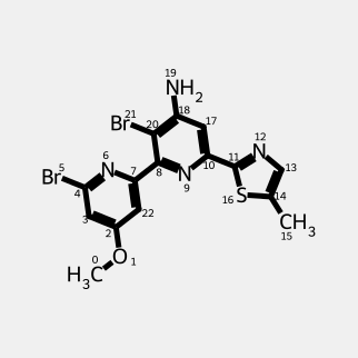 COc1cc(Br)nc(-c2nc(-c3ncc(C)s3)cc(N)c2Br)c1